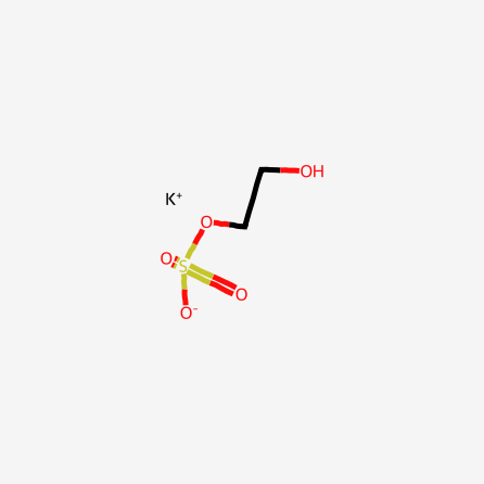 O=S(=O)([O-])OCCO.[K+]